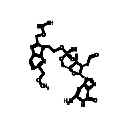 COCc1ncc2nc(COPS)n(CCOP(=O)(S)OC[C@H]3O[C@@H](n4cnc5c(=O)[nH]c(N)nc54)[C@H](CC=O)[C@@H]3F)c2n1